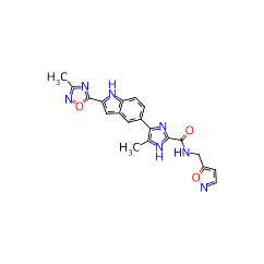 Cc1noc(-c2cc3cc(-c4nc(C(=O)NCc5ccno5)[nH]c4C)ccc3[nH]2)n1